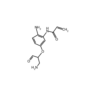 C=CC(=O)Nc1cc(OC(C=O)CN)ccc1N